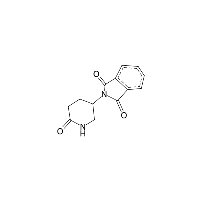 O=C1CCC(N2C(=O)c3ccccc3C2=O)CN1